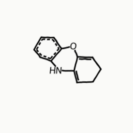 C1=C2Nc3ccccc3OC2=CCC1